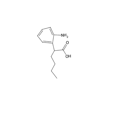 CCCCC(C(=O)O)c1ccccc1N